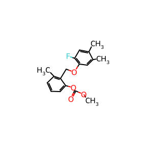 COC(=O)Oc1cccc(C)c1COc1cc(C)c(C)cc1F